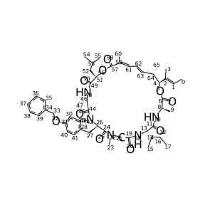 C/C=C(\C)[C@H]1OC(=O)[C@@H](C)NC(=O)[C@H](C(C)CC)NC(=O)CN(C)C(=O)[C@@H](Cc2ccc(OCc3ccccc3)cc2)N(C)C(=O)[C@H](C)NC(=O)[C@@H](CC(C)C)OC(=O)/C(C)=C/C=C/[C@@H]1C